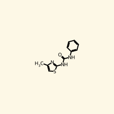 Cc1csc(NC(=O)Nc2ccccc2)n1